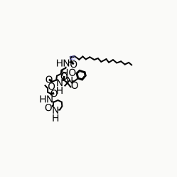 CCCCCCCCCCCCCCC/C=C\C(=O)NCCCCC(NC(=O)C1(C)COC(c2ccccc2O)=N1)C(=O)OC(C)CC(=O)NC1CCCCNC1=O